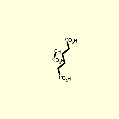 CC(=O)O.O=C(O)CCCCC(=O)O